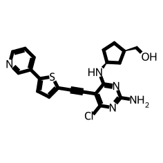 Nc1nc(Cl)c(C#Cc2ccc(-c3cccnc3)s2)c(N[C@H]2CC[C@@H](CO)C2)n1